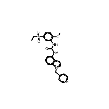 CCS(=O)(=O)c1ccc(OC)c(NC(=O)Nc2cccc3c2ccn3Cc2ccncc2)c1